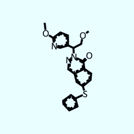 COCC(c1ccc(OC)nc1)n1ncc2cc(Sc3ccccc3)ccc2c1=O